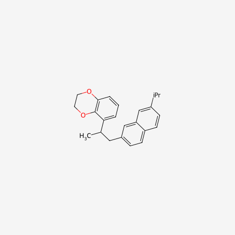 CC(C)c1ccc2ccc(CC(C)c3cccc4c3OCCO4)cc2c1